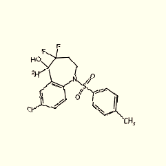 [2H]C1(O)c2cc(Cl)ccc2N(S(=O)(=O)c2ccc(C)cc2)CCC1(F)F